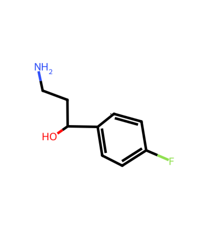 NCCC(O)c1[c]cc(F)cc1